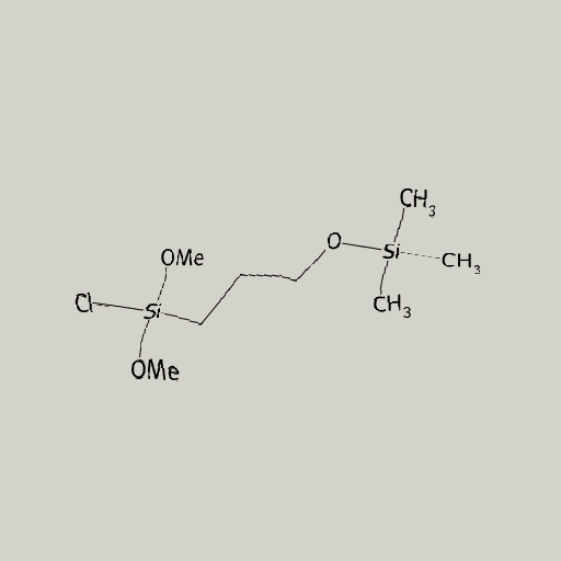 CO[Si](Cl)(CCCO[Si](C)(C)C)OC